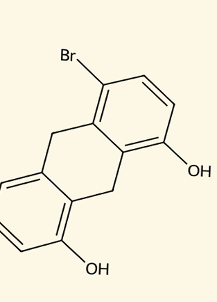 Oc1cccc2c1Cc1c(O)ccc(Br)c1C2